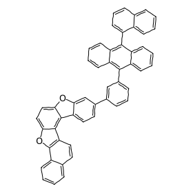 c1cc(-c2ccc3c(c2)oc2ccc4oc5c6ccccc6ccc5c4c23)cc(-c2c3ccccc3c(-c3cccc4ccccc34)c3ccccc23)c1